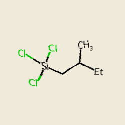 CCC(C)C[Si](Cl)(Cl)Cl